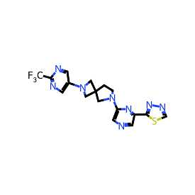 FC(F)(F)c1ncc(N2CC3(CCN(c4cncc(-c5nncs5)n4)C3)C2)cn1